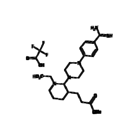 COC(=O)CCC1CCCN(CC(=O)O)C1N1CCN(c2ccc(C(=N)N)cc2)CC1.O=C(O)C(F)(F)F